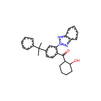 CC(C)(c1ccccc1)c1ccc(C(=O)C2CCCCC2O)c(-n2nc3ccccc3n2)c1